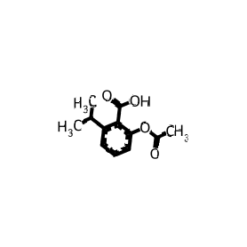 CC(=O)Oc1cccc(C(C)C)c1C(=O)O